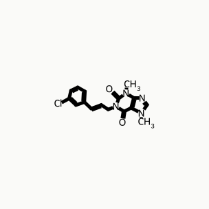 Cn1cnc2c1c(=O)n(CC=Cc1cccc(Cl)c1)c(=O)n2C